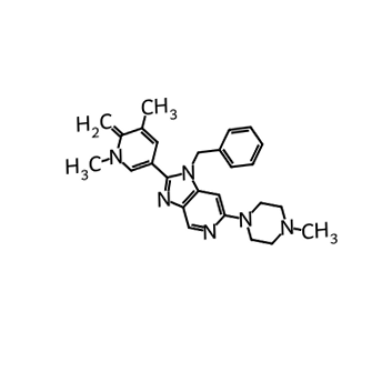 C=C1C(C)=CC(c2nc3cnc(N4CCN(C)CC4)cc3n2Cc2ccccc2)=CN1C